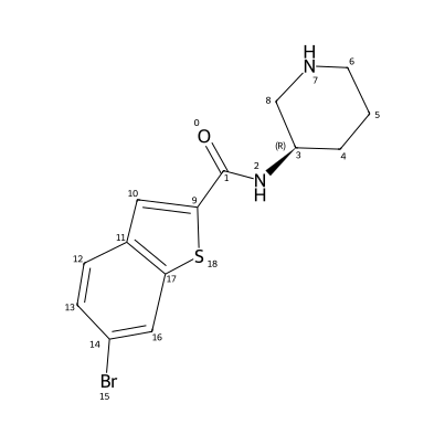 O=C(N[C@@H]1CCCNC1)c1cc2ccc(Br)cc2s1